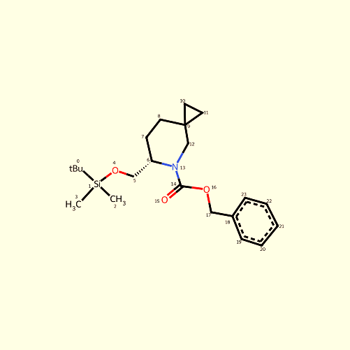 CC(C)(C)[Si](C)(C)OC[C@@H]1CCC2(CC2)CN1C(=O)OCc1ccccc1